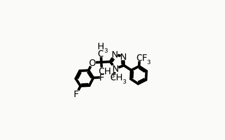 Cn1c(-c2ccccc2C(F)(F)F)nnc1C(C)(C)Oc1ccc(F)cc1F